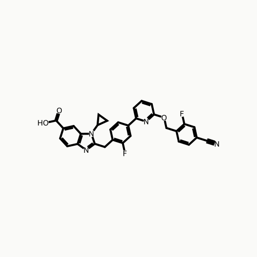 N#Cc1ccc(COc2cccc(-c3ccc(Cc4nc5ccc(C(=O)O)cc5n4C4CC4)c(F)c3)n2)c(F)c1